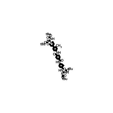 Cc1cc(NC(=O)c2ccc(C(=O)Nc3ccc(CN/C(=N/C(=O)OC(C)(C)C)NC(=O)OC(C)(C)C)cc3)cc2)ccc1C1=CCN(/C(=N\C(=O)OC(C)(C)C)NC(=O)OC(C)(C)C)CC1